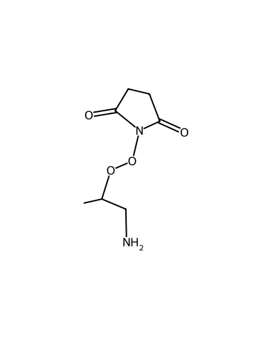 CC(CN)OON1C(=O)CCC1=O